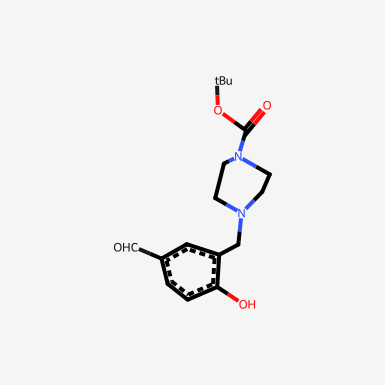 CC(C)(C)OC(=O)N1CCN(Cc2cc(C=O)ccc2O)CC1